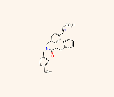 CCCCCCCCc1ccc(CN(Cc2ccc(/C=C/C(=O)O)cc2)C(=O)CCc2ccccc2)cc1